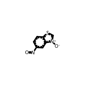 O=Nc1ccc2sc[n+]([O-])c2c1